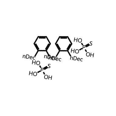 CCCCCCCCCCc1ccccc1CCCCCCCCCC.CCCCCCCCCCc1ccccc1CCCCCCCCCC.OP(O)(O)=S.OP(O)(O)=S